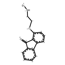 CCNCCOc1cccc2c1C(=O)c1ccccc1-2